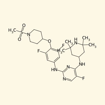 CC1(C)CC(Nc2nc(Nc3cc(F)c(OC4CCN(S(C)(=O)=O)CC4)c(F)c3)ncc2F)CC(C)(C)N1